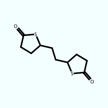 O=C1CCC(CCC2CCC(=O)S2)S1